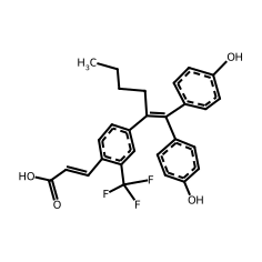 CCCCC(=C(c1ccc(O)cc1)c1ccc(O)cc1)c1ccc(C=CC(=O)O)c(C(F)(F)F)c1